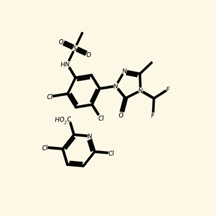 Cc1nn(-c2cc(NS(C)(=O)=O)c(Cl)cc2Cl)c(=O)n1C(F)F.O=C(O)c1nc(Cl)ccc1Cl